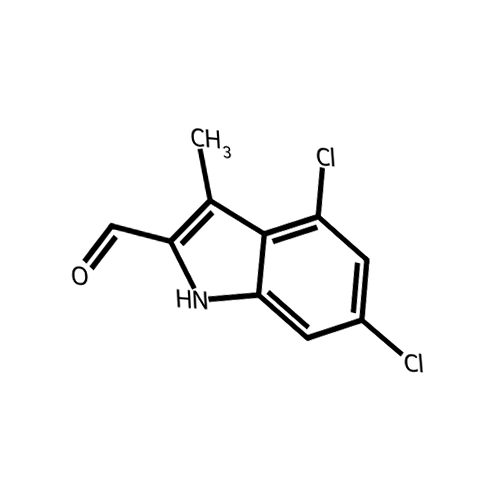 Cc1c(C=O)[nH]c2cc(Cl)cc(Cl)c12